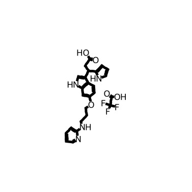 O=C(O)C(F)(F)F.O=C(O)CC(c1ccc[nH]1)c1c[nH]c2cc(OCCCNc3ccccn3)ccc12